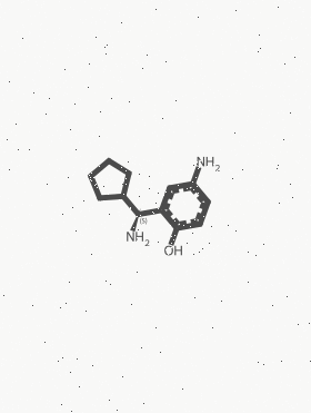 Nc1ccc(O)c([C@@H](N)C2CCCC2)c1